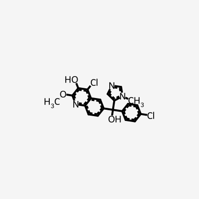 COc1nc2ccc(C(O)(c3ccc(Cl)cc3)c3cncn3C)cc2c(Cl)c1O